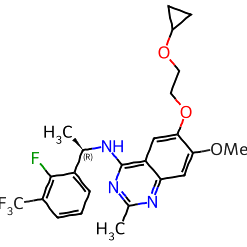 COc1cc2nc(C)nc(N[C@H](C)c3cccc(C(F)(F)F)c3F)c2cc1OCCOC1CC1